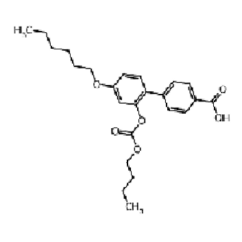 CCCCCCOc1ccc(-c2ccc(C(=O)O)cc2)c(OC(=O)OCCCC)c1